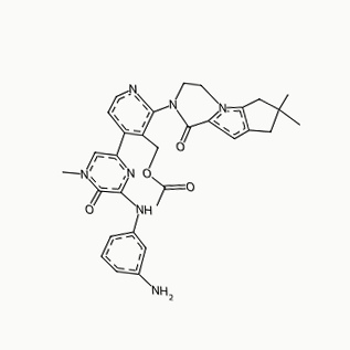 CC(=O)OCc1c(-c2cn(C)c(=O)c(Nc3cccc(N)c3)n2)ccnc1N1CCn2c(cc3c2CC(C)(C)C3)C1=O